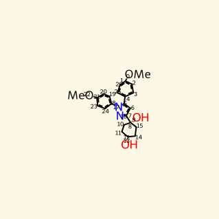 COc1ccc(-c2cc([C@]3(O)CC[C@@H](O)CC3)nn2-c2ccc(OC)cc2)cc1